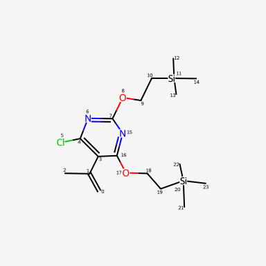 C=C(C)c1c(Cl)nc(OCC[Si](C)(C)C)nc1OCC[Si](C)(C)C